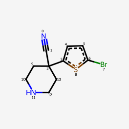 N#CC1(c2ccc(Br)s2)CCNCC1